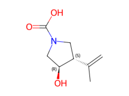 C=C(C)[C@H]1CN(C(=O)O)C[C@@H]1O